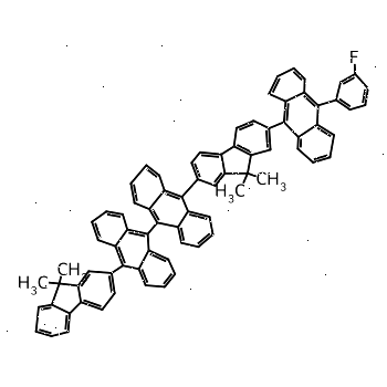 CC1(C)c2ccccc2-c2ccc(-c3c4ccccc4c(-c4c5ccccc5c(-c5ccc6c(c5)C(C)(C)c5cc(-c7c8ccccc8c(-c8cccc(F)c8)c8ccccc78)ccc5-6)c5ccccc45)c4ccccc34)cc21